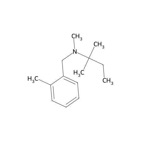 CCC(C)(C)N(C)Cc1ccccc1C